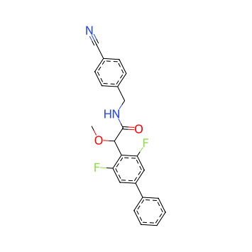 COC(C(=O)NCc1ccc(C#N)cc1)c1c(F)cc(-c2ccccc2)cc1F